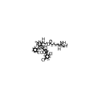 Cc1nc(NCCOC(=O)CCCCNC(=N)N)c(NCc2ccc(-c3cc(Cl)ccc3Cl)o2)c(Nc2ccccc2C(=O)O)n1